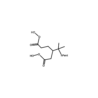 CCCCCC(C)(C)C(CCC(=O)OO)CC(=O)OO